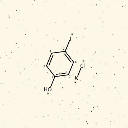 Oc1ccc(I)cc1.[Cl][K]